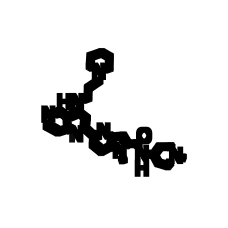 CN1CCC(NC(=O)c2cc3nc(-c4cc(NCCCN5CCCCC5)c5cnccc5n4)ccc3n2C)CC1